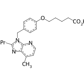 CCCc1nc2c(C)ccnc2n1Cc1ccc(OCCCCC(=O)O)cc1